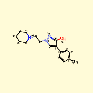 Cc1ccc(-c2cn(CCN3CCCCC3)nc2O)cc1